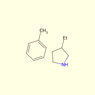 CCC1CCNC1.Cc1ccccc1